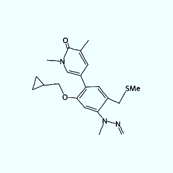 C=NN(C)c1cc(OCC2CC2)c(-c2cc(C)c(=O)n(C)c2)cc1CSC